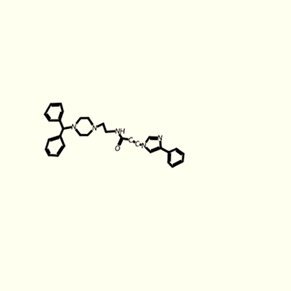 O=C(CCn1cnc(-c2ccccc2)c1)NCCN1CCN(C(c2ccccc2)c2ccccc2)CC1